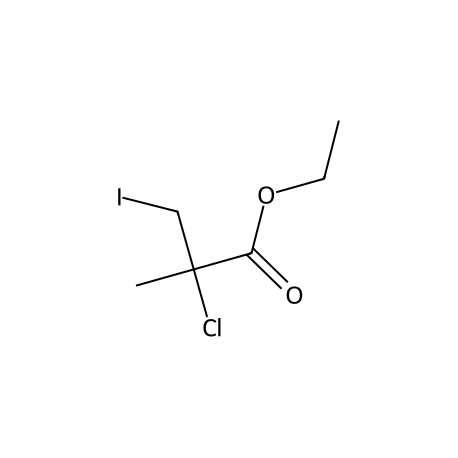 CCOC(=O)C(C)(Cl)CI